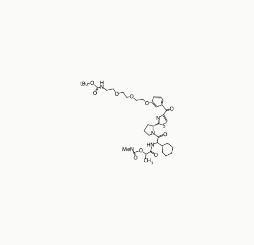 CNC(=O)OC(C)C(=O)NC(C(=O)N1CCC[C@H]1c1nc(C(=O)c2cccc(OCCOCCOCCNC(=O)OC(C)(C)C)c2)cs1)C1CCCCC1